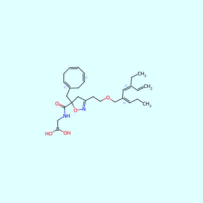 C=C/C(=C\C(=C/CC)COCCC1=NOC(C/C2=C/CC=C/C=C\C2)(C(=O)NCB(O)O)C1)CC